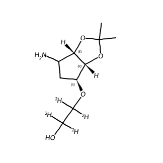 [2H]C([2H])(O)C([2H])([2H])O[C@H]1CC(N)[C@@H]2OC(C)(C)O[C@H]12